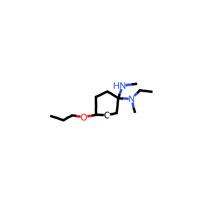 CCCOC1CCC(NC)(N(C)CC)CC1